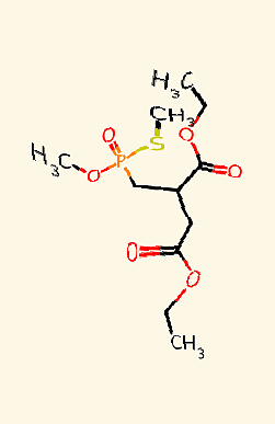 CCOC(=O)CC(CP(=O)(OC)SC)C(=O)OCC